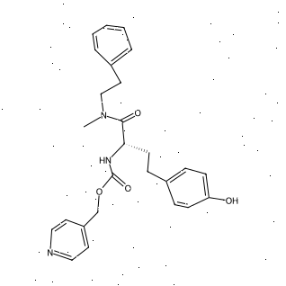 CN(CCc1ccccc1)C(=O)[C@H](CCc1ccc(O)cc1)NC(=O)OCc1ccncc1